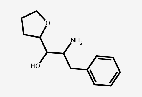 NC(Cc1ccccc1)C(O)C1CCCO1